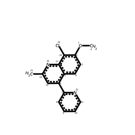 COc1ccc2c(-c3ccccn3)cc(C)nc2c1Cl